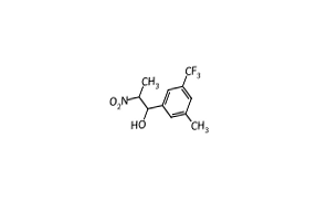 Cc1cc(C(O)C(C)[N+](=O)[O-])cc(C(F)(F)F)c1